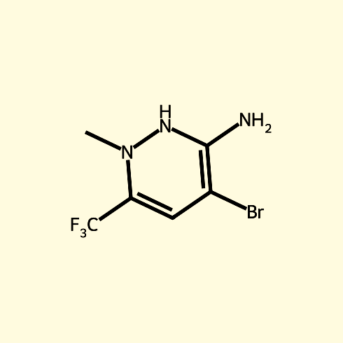 CN1NC(N)=C(Br)C=C1C(F)(F)F